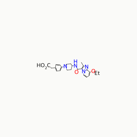 CCOc1cccn2c(C(=O)NC3CCN(c4ccc(CC(=O)O)cc4)CC3)c(C)nc12